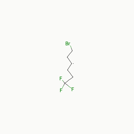 FC(F)(F)CC[CH]CCBr